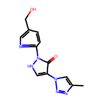 Cc1cn(-c2c[nH]n(-c3ccc(CO)cn3)c2=O)nn1